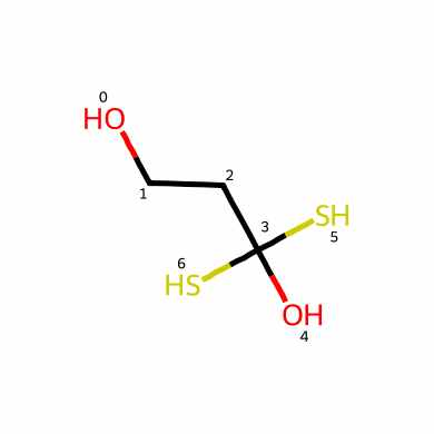 OCCC(O)(S)S